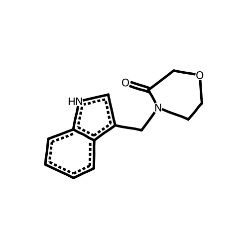 O=C1COCCN1Cc1c[nH]c2ccccc12